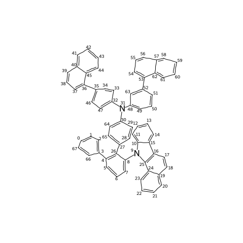 c1ccc(-c2cccc(-n3c4ccccc4c4ccc5ccccc5c43)c2-c2ccc(N(c3ccc(-c4cccc5ccccc45)cc3)c3cccc(-c4cccc5ccccc45)c3)cc2)cc1